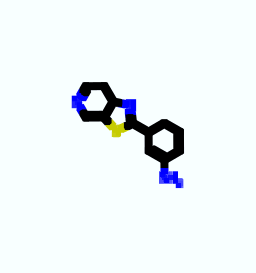 NC1=CC(C2=NC3CC=NC=C3S2)CC=C1